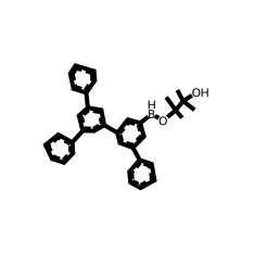 CC(C)(O)C(C)(C)OBc1cc(-c2ccccc2)cc(-c2cc(-c3ccccc3)cc(-c3ccccc3)c2)c1